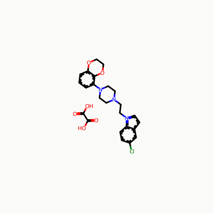 Clc1ccc2c(ccn2CCN2CCN(c3cccc4c3OCCO4)CC2)c1.O=C(O)C(=O)O